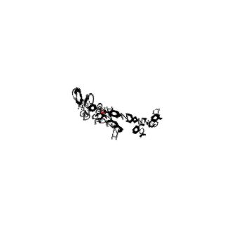 Cc1cc(Cl)cc2c1OCC[C@@H]2N1CCN(C2CC3(CCN(c4ccc(C(=O)NS(=O)(=O)c5cc6c(c([N+](=O)[O-])c5)N[C@H](C5CCOCC5)CO6)c(N5c6cc7cc[nH]c7nc6O[C@H]6COCC[C@@H]65)c4)CC3)C2)[C@H](c2ccccc2OC(C)C)C1